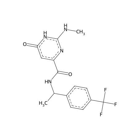 CNc1nc(C(=O)NC(C)c2ccc(C(F)(F)F)cc2)cc(=O)[nH]1